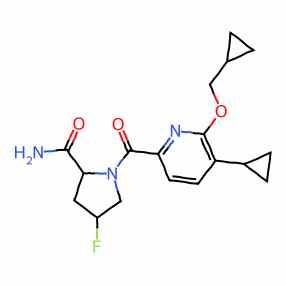 NC(=O)C1CC(F)CN1C(=O)c1ccc(C2CC2)c(OCC2CC2)n1